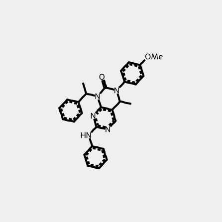 COc1ccc(N2C(=O)N(C(C)c3ccccc3)c3nc(Nc4ccccc4)ncc3C2C)cc1